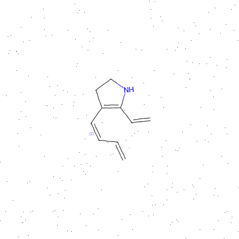 C=C/C=C\C1=C(C=C)NCC1